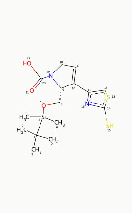 CC(C)(C)[Si](C)(C)OC[C@H]1C(c2csc(S)n2)=CCN1C(=O)O